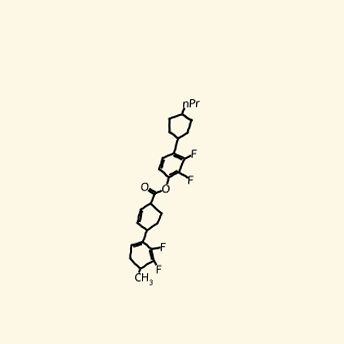 CCCC1CCC(c2ccc(OC(=O)C3C=CC(C4=CCC(C)C(F)=C4F)CC3)c(F)c2F)CC1